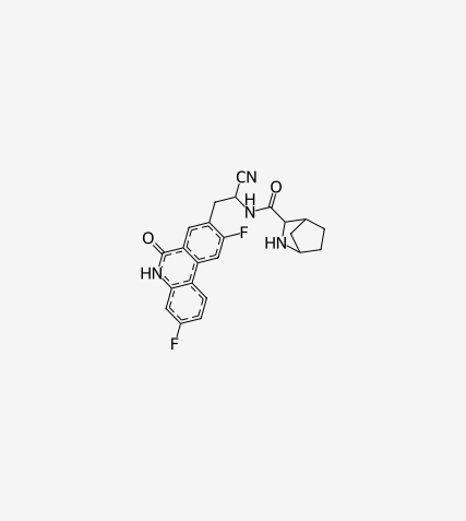 N#CC(Cc1cc2c(=O)[nH]c3cc(F)ccc3c2cc1F)NC(=O)C1NC2CCC1C2